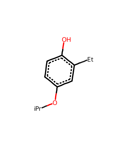 CCc1cc(OC(C)C)ccc1O